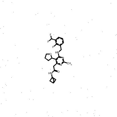 Cc1nc(CC(=O)NC23CC(C2)C3)c(C2CCCO2)c(NCc2cccc(C(F)F)c2F)n1